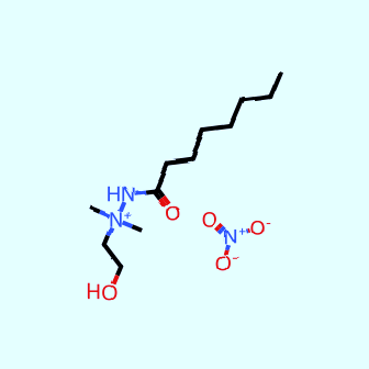 CCCCCCCC(=O)N[N+](C)(C)CCO.O=[N+]([O-])[O-]